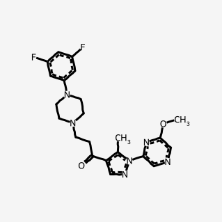 COc1cncc(-n2ncc(C(=O)CCN3CCN(c4cc(F)cc(F)c4)CC3)c2C)n1